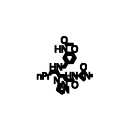 CCC/C=C(/NCc1ccc2c(c1)NC(=O)CO2)c1cc(C(=O)N[C@H]2CN(C)C2=O)n2nccc2n1